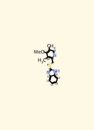 COc1c(C)cnc(CSc2nc3c[c]ccc3[nH]2)c1C